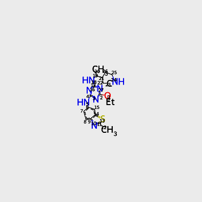 CCOc1nc(Nc2ccc3nc(C)sc3c2)nc(NC(C)C2CCNCC2)n1